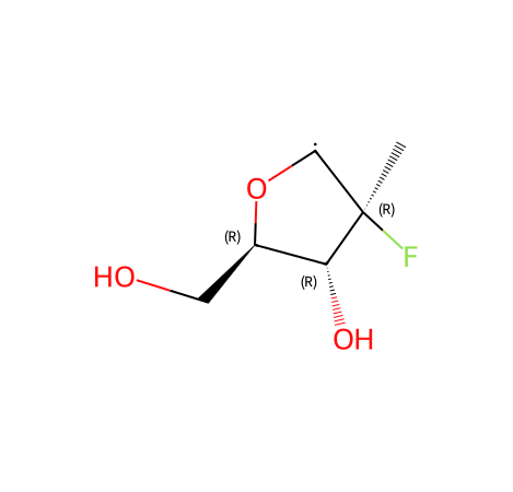 C[C@@]1(F)[CH]O[C@H](CO)[C@H]1O